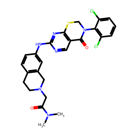 CN(C)C(=O)CN1CCc2ccc(Nc3ncc4c(n3)SCN(c3c(Cl)cccc3Cl)C4=O)cc2C1